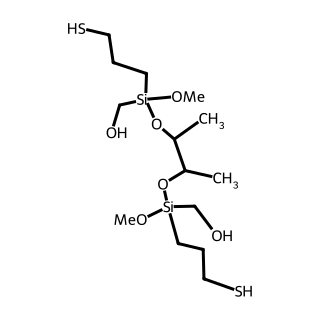 CO[Si](CO)(CCCS)OC(C)C(C)O[Si](CO)(CCCS)OC